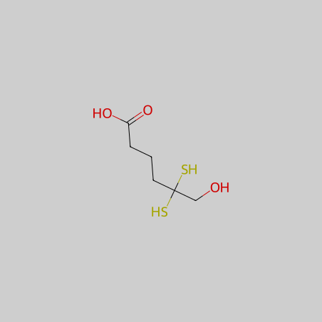 O=C(O)CCCC(S)(S)CO